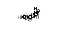 Cl.O=C1CCC(Nc2ccc(N3CCNCC3)cc2)C(=O)N1